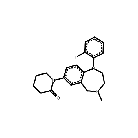 CN1CCN(c2ccccc2F)c2ccc(N3CCCCC3=O)cc2C1